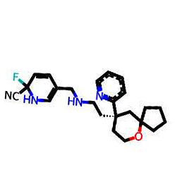 N#CC1(F)C=CC(CNCC[C@@]2(c3ccccn3)CCOC3(CCCC3)C2)=CN1